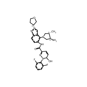 C[C@H]1CN(c2c(NC(=O)C3=NN(c4c(F)cccc4F)C(O)C=C3)ccc3nn([C@@H]4CCOC4)cc23)C[C@@H]1N